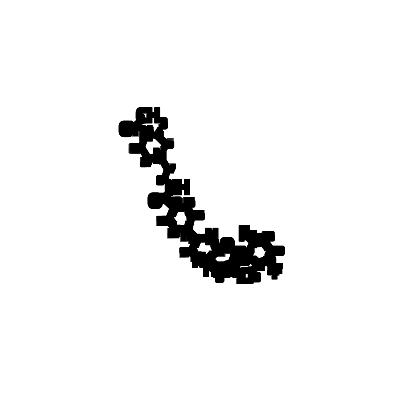 CC(=O)N1CCN(CCNC(=O)c2ccc(-c3cnc(N)c(OC(C)c4c(F)ccc(F)c4Cl)n3)cc2)CC1